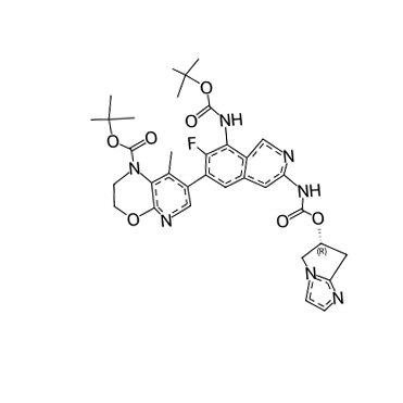 Cc1c(-c2cc3cc(NC(=O)O[C@@H]4Cc5nccn5C4)ncc3c(NC(=O)OC(C)(C)C)c2F)cnc2c1N(C(=O)OC(C)(C)C)CCO2